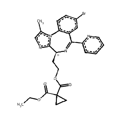 CCOC(=O)C1(C(=O)OCC[C@@H]2N=C(c3ccccn3)c3cc(Br)ccc3-n3c(C)cnc32)CC1